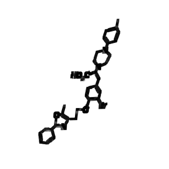 Cc1ccc(N2CCN([C@@H](Cc3ccc(OCCc4nc(-c5ccccc5)oc4C)c(Br)c3)C(=O)O)CC2)cc1